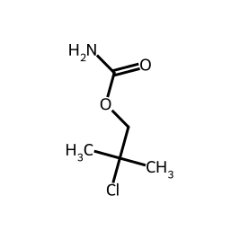 CC(C)(Cl)COC(N)=O